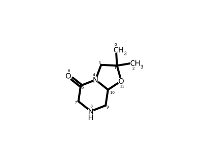 CC1(C)CN2C(=O)CNCC2O1